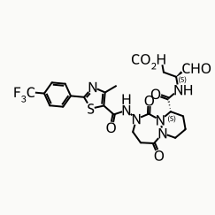 Cc1nc(-c2ccc(C(F)(F)F)cc2)sc1C(=O)NN1CCC(=O)N2CCC[C@@H](C(=O)N[C@H](C=O)CC(=O)O)N2C1=O